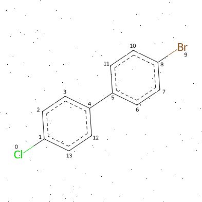 Clc1ccc(-c2[c]cc(Br)cc2)cc1